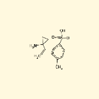 C=CC1(N)CC1.Cc1ccc(S(=O)(=O)O)cc1